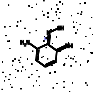 N=C1C=CC=C(N)/C1=N/S